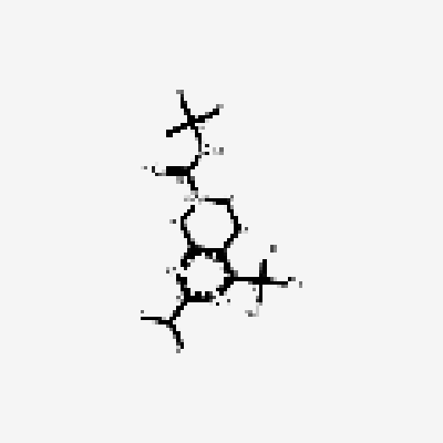 CC(C)c1nc2c(c(C(F)(F)F)n1)CCN(C(=O)OC(C)(C)C)C2